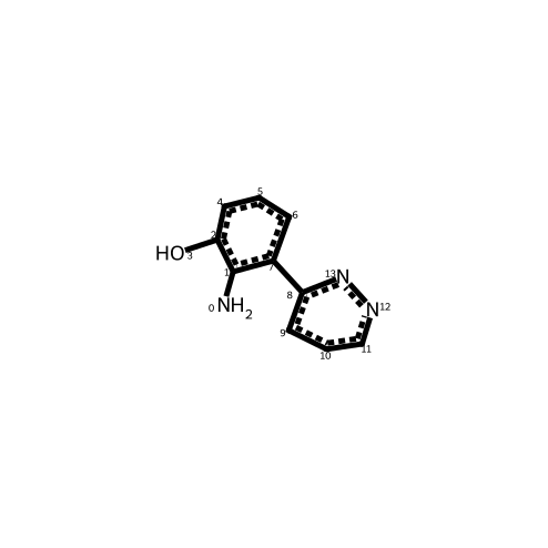 Nc1c(O)cccc1-c1cccnn1